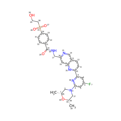 C[C@@H]1CN(c2cc(F)cc(-c3ccc4cnc(CNC(=O)c5ccc(S(=O)(=O)CCO)cc5)cc4n3)n2)C[C@H](C)O1